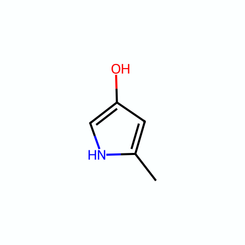 Cc1cc(O)c[nH]1